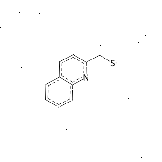 [S]Cc1ccc2ccccc2n1